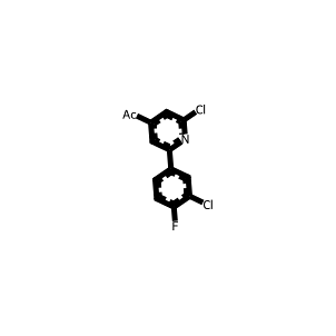 CC(=O)c1cc(Cl)nc(-c2ccc(F)c(Cl)c2)c1